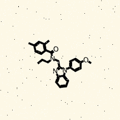 CCCN(Cc1nc2ccccc2n1-c1ccc(OC)cc1)C(=O)c1ccc(C)cc1C